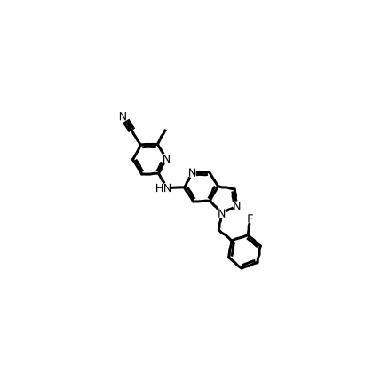 Cc1nc(Nc2cc3c(cn2)cnn3Cc2ccccc2F)ccc1C#N